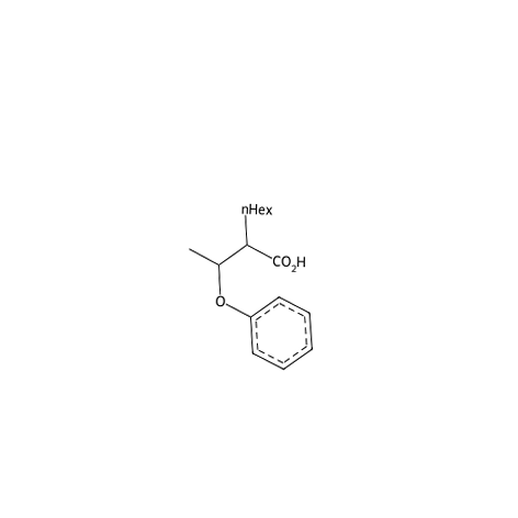 CCCCCCC(C(=O)O)C(C)Oc1ccccc1